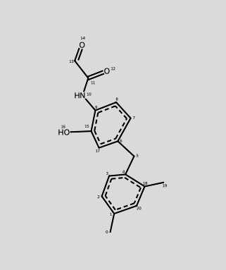 Cc1ccc(Cc2ccc(NC(=O)C=O)c(O)c2)c(C)c1